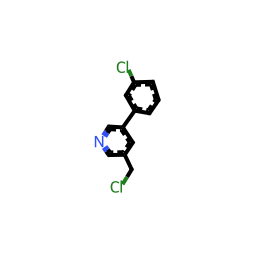 ClCc1cncc(-c2cccc(Cl)c2)c1